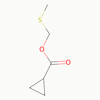 CSCOC(=O)C1CC1